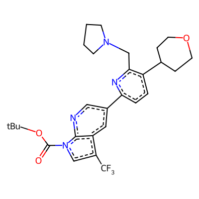 CC(C)(C)OC(=O)n1cc(C(F)(F)F)c2cc(-c3ccc(C4CCOCC4)c(CN4CCCC4)n3)cnc21